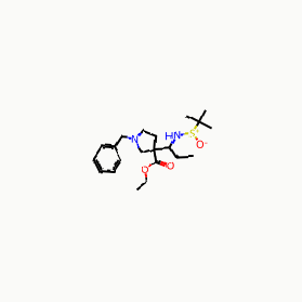 CCOC(=O)C1(C(CC)N[S+]([O-])C(C)(C)C)CCN(Cc2ccccc2)C1